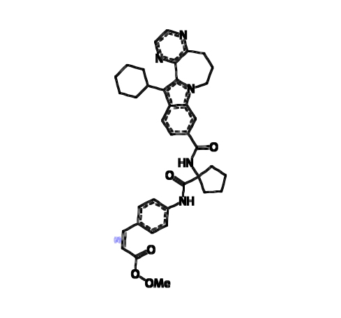 COOC(=O)/C=C\c1ccc(NC(=O)C2(NC(=O)c3ccc4c(C5CCCCC5)c5n(c4c3)CCCc3nccnc3-5)CCCC2)cc1